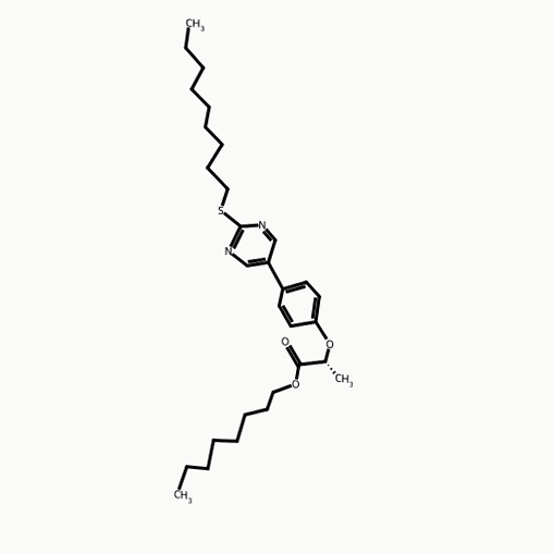 CCCCCCCCCSc1ncc(-c2ccc(O[C@H](C)C(=O)OCCCCCCCC)cc2)cn1